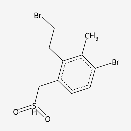 Cc1c(Br)ccc(C[SH](=O)=O)c1CCBr